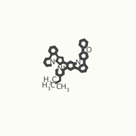 CC(C)(C)Cc1cc[n+]2c3c(c4cc5c(cc4c2c1)c1cccc2c4cc6oc7ccccc7c6cc4n5c12)CC1c2ccccc2-c2cccc[n+]2C31